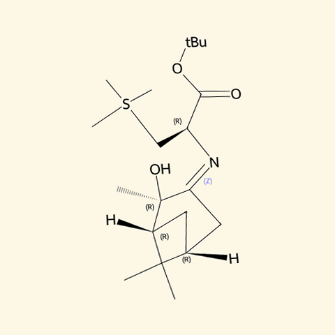 CC(C)(C)OC(=O)[C@H](CS(C)(C)C)/N=C1/C[C@H]2C[C@H](C2(C)C)[C@@]1(C)O